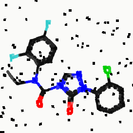 CCN(C(=O)n1cnn(-c2ccccc2Cl)c1=O)c1ccc(F)cc1F